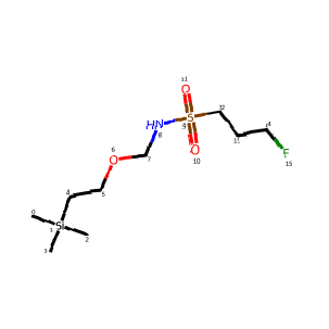 C[Si](C)(C)CCOCNS(=O)(=O)CCCF